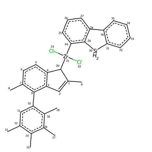 CC1=Cc2c(ccc(C)c2-c2cc(C)c(C)c(C)c2C)[CH]1[Zr]([Cl])([Cl])[c]1cccc2c1[SiH2]c1ccccc1-2